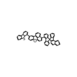 C1=CC2c3ccccc3SC2C(c2ccc3c(c2)-c2cccc4c(-c5cccc6c5-c5ccccc5C65c6ccccc6-c6c5ccc5ccccc65)ccc(c24)O3)=C1